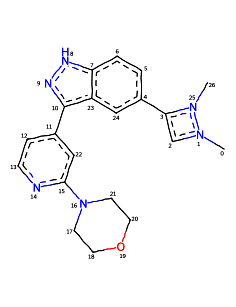 Cn1cc(-c2ccc3[nH]nc(-c4ccnc(N5CCOCC5)c4)c3c2)n1C